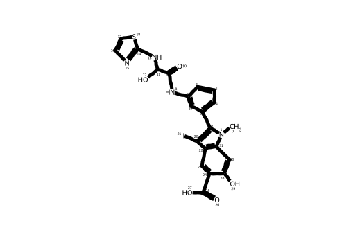 Cn1c(-c2cccc(NC(=O)C(O)Nc3nccs3)c2)c(I)c2cc(C(=O)O)c(O)cc21